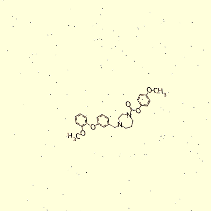 COc1ccc(OC(=O)N2CCCN(Cc3cccc(Oc4ccccc4OC)c3)CC2)cc1